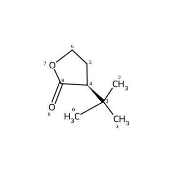 CC(C)(C)[C@@H]1CCOC1=O